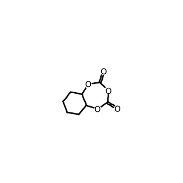 O=C1OC(=O)OC2CCCCC2O1